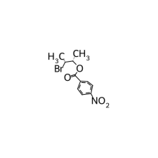 C[C@H](OC(=O)c1ccc([N+](=O)[O-])cc1)[C@@H](C)Br